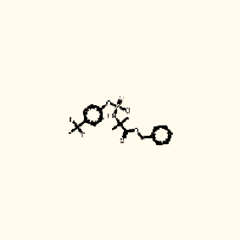 CC(C)(NP(=O)(Cl)Oc1ccc(C(F)(F)F)cc1)C(=O)OCc1ccccc1